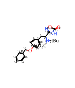 CC(C)(C)N(C(=O)O)C(Cc1ccc(OCc2ccccc2)cc1)c1noc(=O)[nH]1